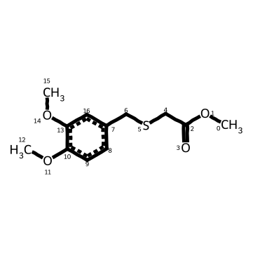 COC(=O)CSCc1ccc(OC)c(OC)c1